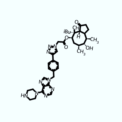 CCC(C)[C@]1(C)[C@@H]2C(=O)CCC2[C@@H](C)[C@H](O)[C@@H](C)C[C@H]1OC(=O)Cn1cc(-c2ccc(Cn3cnc4c(N5CCNCC5)ncnc43)cc2)nn1